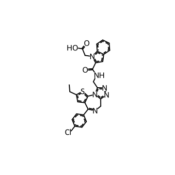 CCc1cc2c(s1)-n1c(nnc1CNC(=O)c1cc3ccccc3n1CC(=O)O)CN=C2c1ccc(Cl)cc1